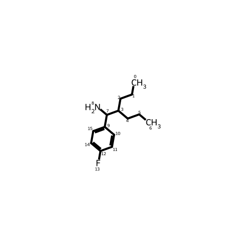 CCCC(CCC)C(N)c1ccc(F)cc1